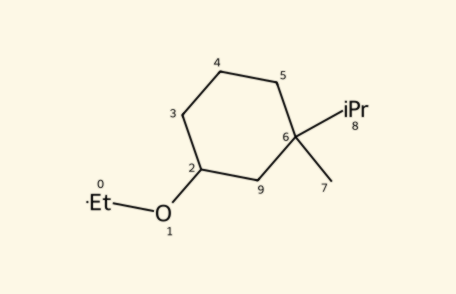 C[CH]OC1CCCC(C)(C(C)C)C1